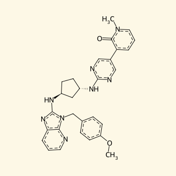 COc1ccc(Cn2c(N[C@H]3CC[C@H](Nc4ncc(-c5cccn(C)c5=O)cn4)C3)nc3cccnc32)cc1